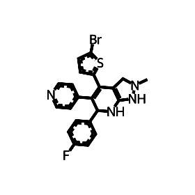 CN1CC2=C(NC(c3ccc(F)cc3)C(c3ccncc3)=C2c2ccc(Br)s2)N1